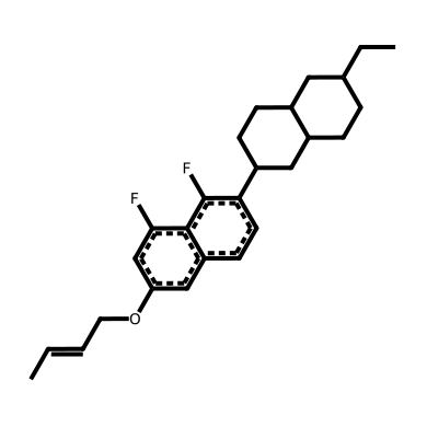 C/C=C/COc1cc(F)c2c(F)c(C3CCC4CC(CC)CCC4C3)ccc2c1